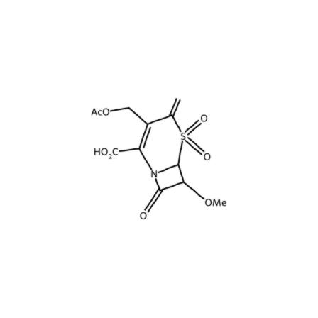 C=C1C(COC(C)=O)=C(C(=O)O)N2C(=O)C(OC)C2S1(=O)=O